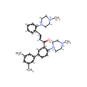 Cc1cc(C)cc(-c2ccc(N3CCN(C)CC3)c(C(=O)C=Cc3ccccc3N3CCN(C)CC3)c2)c1